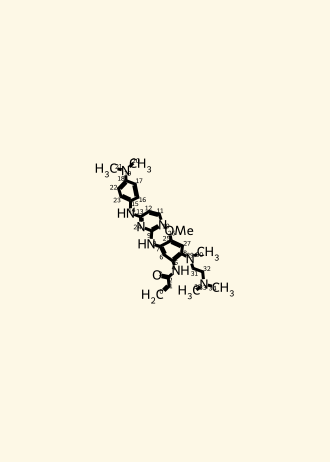 C=CC(=O)Nc1cc(Nc2nccc(Nc3ccc(N(C)C)cc3)n2)c(OC)cc1N(C)CCN(C)C